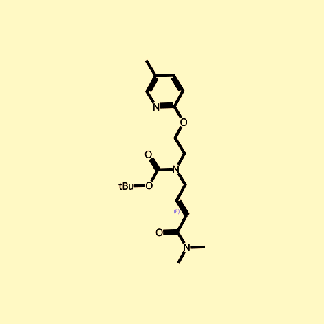 Cc1ccc(OCCN(C/C=C/C(=O)N(C)C)C(=O)OC(C)(C)C)nc1